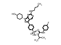 CCCCNc1ncc2c(-c3ccc(S(=O)(=O)N[C@H](C(=O)Nc4ccc(F)cc4)C(C)C)cc3)nn([C@H]3CC[C@H](O)CC3)c2n1